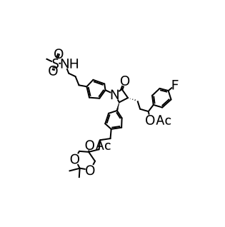 CC(=O)OC(CC[C@H]1C(=O)N(c2ccc(CCCNS(C)(=O)=O)cc2)[C@@H]1c1ccc(CCCC2(OC(C)=O)COC(C)(C)OC2)cc1)c1ccc(F)cc1